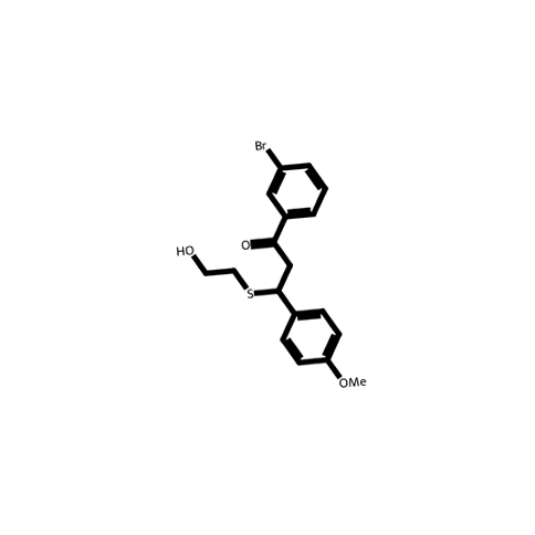 COc1ccc(C(CC(=O)c2cccc(Br)c2)SCCO)cc1